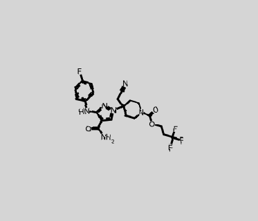 N#CCC1(n2cc(C(N)=O)c(Nc3ccc(F)cc3)n2)CCN(C(=O)OCCC(F)(F)F)CC1